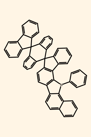 c1ccc(-n2c3c4c(ccc3c3ccc5ccccc5c32)C2(c3ccccc3-4)c3ccccc3C3(c4ccccc4-c4ccccc43)c3ccccc32)cc1